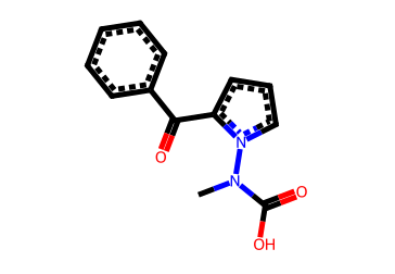 CN(C(=O)O)n1cccc1C(=O)c1ccccc1